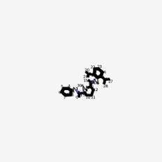 C/C(=N\c1ccccc1)C1CCCC(/C(C)=N/c2c(C(C)C)cccc2C(C)C)N1C